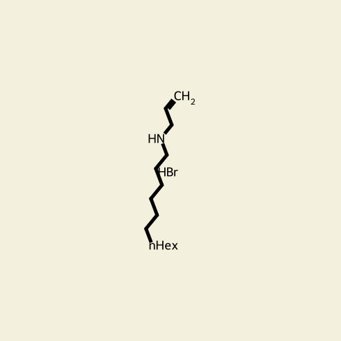 Br.C=CCNCCCCCCCCCCCC